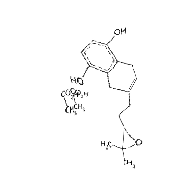 CC(=O)O.CC(=O)O.CC1(C)OC1CCC1=CCc2c(O)ccc(O)c2C1